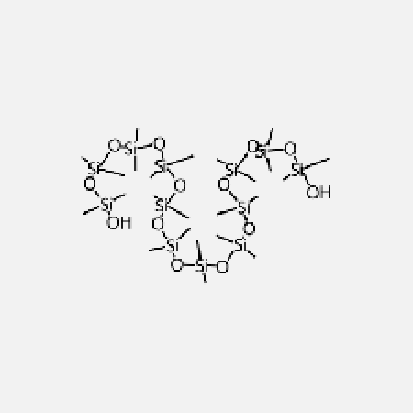 C[Si](C)(O)O[Si](C)(C)O[Si](C)(C)O[Si](C)(C)O[Si](C)(C)O[Si](C)(C)O[Si](C)(C)O[Si](C)(C)O[Si](C)(C)O[Si](C)(C)O[Si](C)(C)O[Si](C)(C)O